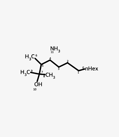 CCCCCCCCCCC(C)C(C)(C)O.N